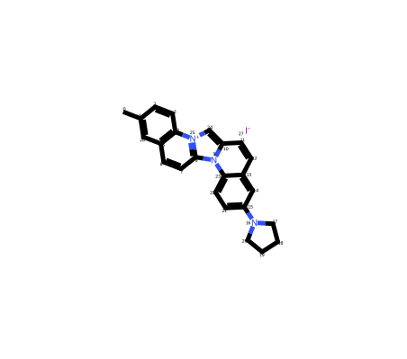 Cc1ccc2c(ccc3n4c(ccc5cc(N6CCCC6)ccc54)c[n+]23)c1.[I-]